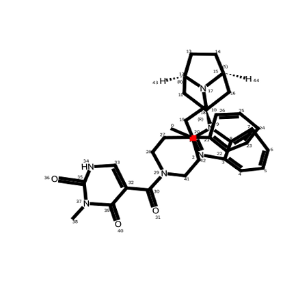 Cc1nc2ccccc2n1[C@H]1C[C@H]2CC[C@@H](C1)N2CCC1(c2ccccc2)CCN(C(=O)c2c[nH]c(=O)n(C)c2=O)CC1